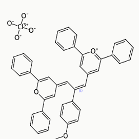 COc1ccc(/C(C=C2C=C(c3ccccc3)OC(c3ccccc3)=C2)=C/c2cc(-c3ccccc3)[o+]c(-c3ccccc3)c2)cc1.[O-][Cl+3]([O-])([O-])[O-]